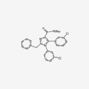 CNC(=O)c1nc(Cc2ccccc2)n(-c2cccc(Cl)c2)c1-c1cccc(Cl)c1